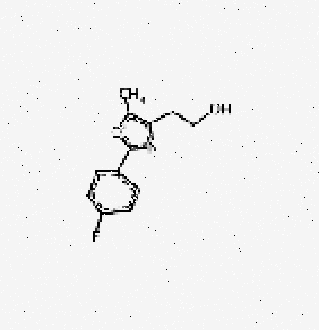 Cc1oc(-c2ccc(F)cc2)nc1CCO